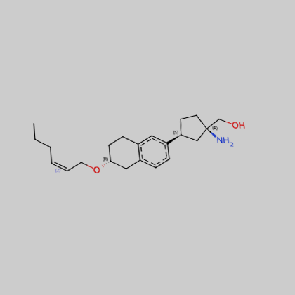 CCC/C=C\CO[C@@H]1CCc2cc([C@H]3CC[C@](N)(CO)C3)ccc2C1